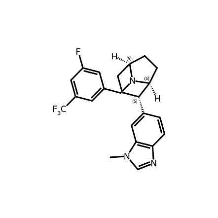 Cn1cnc2ccc([C@@H]3CC[C@H]4CC[C@@H]3N4Cc3cc(F)cc(C(F)(F)F)c3)cc21